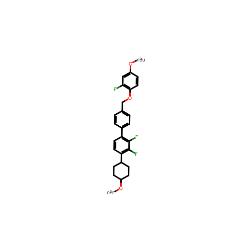 CCCCOc1ccc(OCc2ccc(-c3ccc(C4CCC(OCCC)CC4)c(F)c3F)cc2)c(F)c1